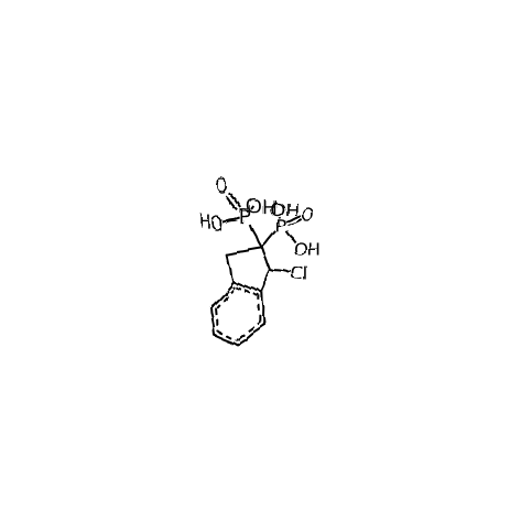 O=P(O)(O)C1(P(=O)(O)O)Cc2ccccc2C1Cl